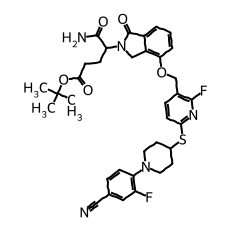 CC(C)(C)OC(=O)CCC(C(N)=O)N1Cc2c(OCc3ccc(SC4CCN(c5ccc(C#N)cc5F)CC4)nc3F)cccc2C1=O